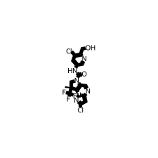 C[C@@]1(C(F)(F)F)CN(C(=O)Nc2cnc(CO)c(Cl)c2)c2cnc3cc(Cl)nn3c21